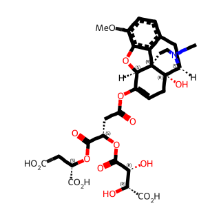 COc1ccc2c3c1O[C@@H]1C(OC(=O)C[C@H](OC(=O)[C@H](O)[C@@H](O)C(=O)O)C(=O)O[C@@H](CC(=O)O)C(=O)O)=CC[C@]4(O)[C@H](C2)N(C)CC[C@@]314